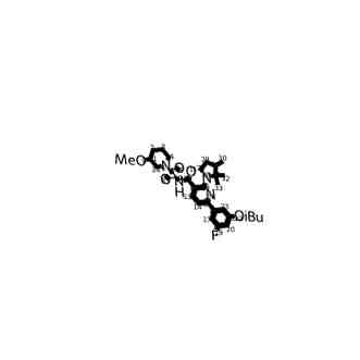 COC1CCCN(S(=O)(=O)NC(=O)c2ccc(-c3cc(F)cc(OCC(C)C)c3)nc2N2CCC(C)C2(C)C)C1